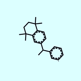 CC(c1c[c]ccc1)c1ccc2c(c1)C(C)(C)CCC2(C)C